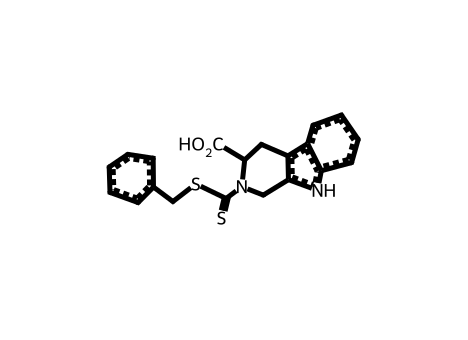 O=C(O)C1Cc2c([nH]c3ccccc23)CN1C(=S)SCc1ccccc1